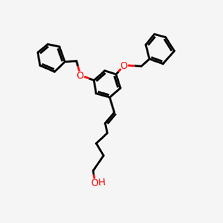 OCCCCC=Cc1cc(OCc2ccccc2)cc(OCc2ccccc2)c1